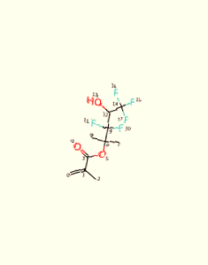 C=C(C)C(=O)OC(C)(C)C(F)(F)C(O)C(F)(F)F